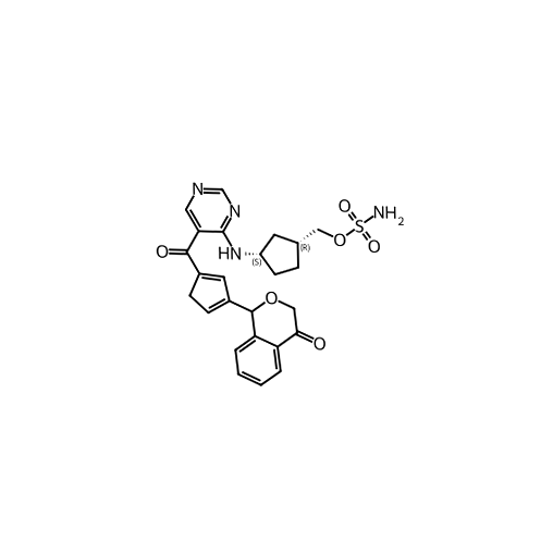 NS(=O)(=O)OC[C@@H]1CC[C@H](Nc2ncncc2C(=O)C2=CC(C3OCC(=O)c4ccccc43)=CC2)C1